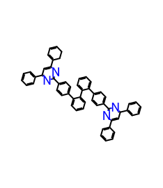 C1=CCCC(c2cc(-c3ccccc3)nc(-c3ccc(-c4ccccc4-c4ccccc4-c4ccc(-c5nc(-c6ccccc6)cc(-c6ccccc6)n5)cc4)cc3)n2)=C1